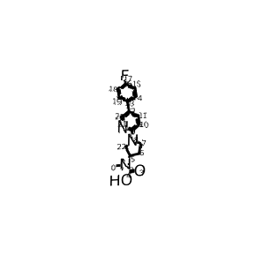 CN(C(=O)O)C1CCN(c2ccc(-c3ccc(F)cc3)cn2)C1